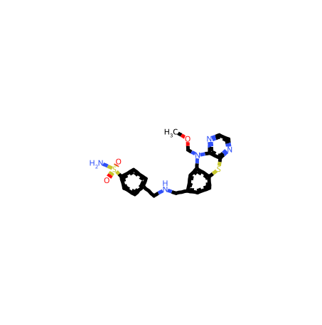 COCN1c2cc(CNCc3ccc(S(N)(=O)=O)cc3)ccc2Sc2nccnc21